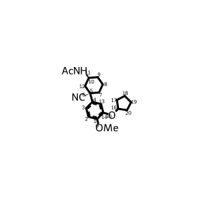 COc1ccc([C@]2(C#N)CCC[C@H](NC(C)=O)C2)cc1OC1CCCC1